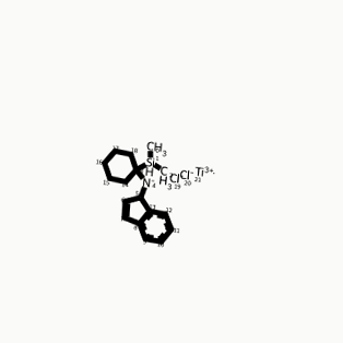 C[SiH](C)C1([N-]C2C=Cc3ccccc32)CCCCC1.[Cl-].[Cl-].[Ti+3]